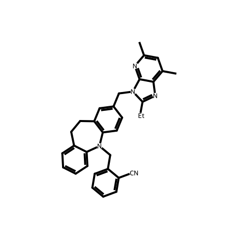 CCc1nc2c(C)cc(C)nc2n1Cc1ccc2c(c1)CCc1ccccc1N2Cc1ccccc1C#N